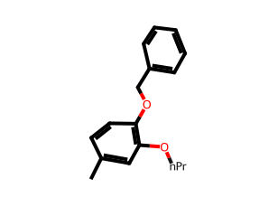 CCCOc1cc(C)ccc1OCc1ccccc1